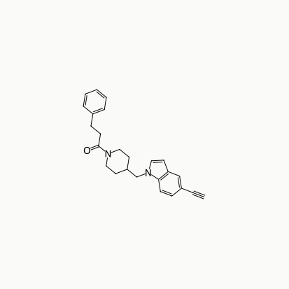 C#Cc1ccc2c(ccn2CC2CCN(C(=O)CCc3ccccc3)CC2)c1